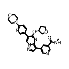 CNC(=O)c1cncc(-c2cnn3cc(-c4ccc(N5CCOCC5)nc4)c(O[C@H]4CCOC4)nc23)c1